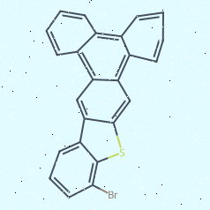 Brc1cccc2c1sc1cc3c4ccccc4c4ccccc4c3cc12